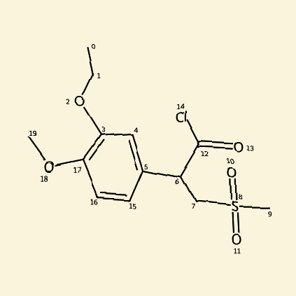 CCOc1cc(C(CS(C)(=O)=O)C(=O)Cl)ccc1OC